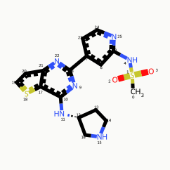 CS(=O)(=O)Nc1cc(-c2nc(N[C@@H]3CCNC3)c3sccc3n2)ccn1